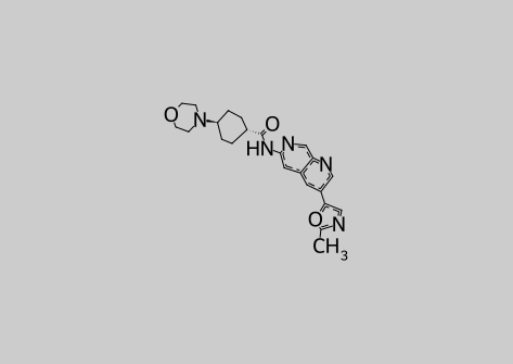 Cc1ncc(-c2cnc3cnc(NC(=O)[C@H]4CC[C@H](N5CCOCC5)CC4)cc3c2)o1